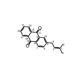 CC(C)=CCc1ccc2c(c1)C(=O)c1ccccc1C2=O